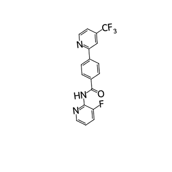 O=C(Nc1ncccc1F)c1ccc(-c2cc(C(F)(F)F)ccn2)cc1